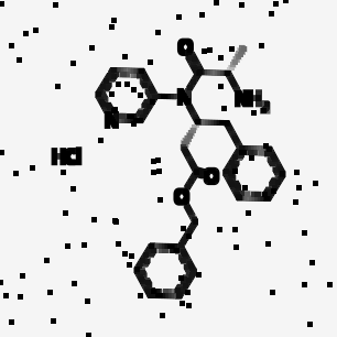 C[C@H](N)C(=O)N(c1cccnc1)[C@@H](CC(=O)OCc1ccccc1)Cc1ccccc1.Cl